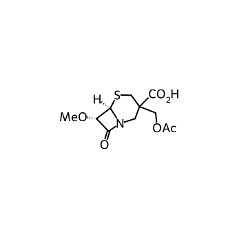 CO[C@H]1C(=O)N2CC(COC(C)=O)(C(=O)O)CS[C@H]12